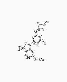 CC(=O)Nc1cc2c(cn1)C1(CC1)CN2c1cc(C)cc(OC2CC(C)C2)n1